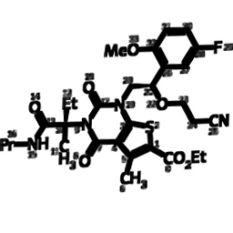 CCOC(=O)c1sc2c(c1C)c(=O)n([C@@](C)(CC)C(=O)NC(C)C)c(=O)n2C[C@H](OCCC#N)c1cc(F)ccc1OC